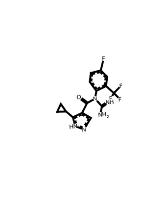 N=C(N)N(C(=O)c1cn[nH]c1C1CC1)c1ccc(F)cc1C(F)(F)F